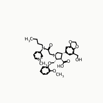 CCCCN(C(=O)CN1C[C@H](c2cc(CO)c3c(c2)OCO3)[C@@H](C(=O)O)[C@@H]1COc1ccccc1OC)c1ccc[n+](C)c1